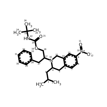 CC(C)CC1Cc2ccc([N+](=O)[O-])cc2CN1C(COC(=O)NC(C)(C)C)Cc1ccccc1